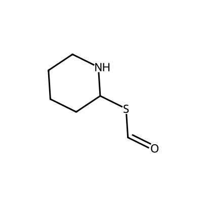 O=CSC1CCCCN1